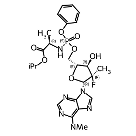 CNc1ncnc2c1ncn2[C@@H]1O[C@H](CO[P@@](=O)(N[C@H](C)C(=O)OC(C)C)Oc2ccccc2)[C@@H](O)[C@@]1(C)F